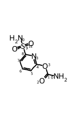 NC(=O)Oc1cccc(S(N)(=O)=O)n1